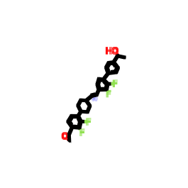 CC(O)c1ccc(-c2ccc(/C=C/C3CCC(c4ccc(C5CO5)c(F)c4F)CC3)c(F)c2F)cc1